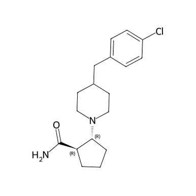 NC(=O)[C@@H]1CCC[C@H]1N1CCC(Cc2ccc(Cl)cc2)CC1